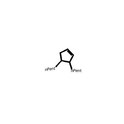 CCCCCC1C=CCC1CCCCC